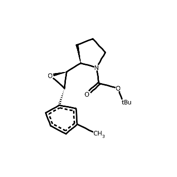 Cc1cccc([C@@H]2O[C@H]2[C@H]2CCCN2C(=O)OC(C)(C)C)c1